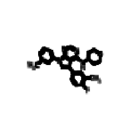 Cc1cccc(-n2cc(-c3ccc(F)c(C)c3)c3c(NC4CCOCC4)ncnc32)c1